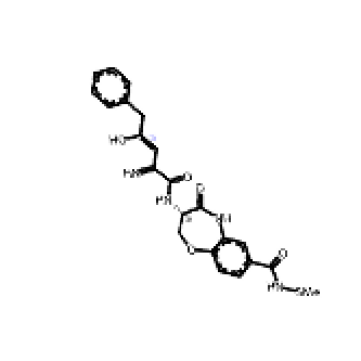 CSNC(=O)c1ccc2c(c1)NC(=O)[C@@H](NC(=O)C(=N)/C=C(\O)Cc1ccccc1)CO2